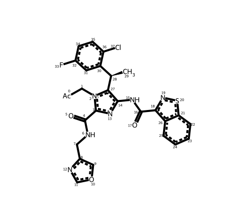 CC(=O)Cn1c(C(=O)NCc2cocn2)nc(NC(=O)c2nsc3ccccc23)c1[C@H](C)c1cc(F)ccc1Cl